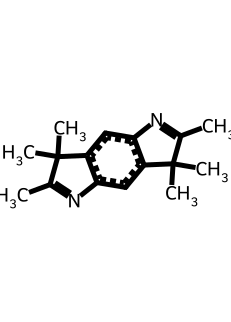 CC1=Nc2cc3c(cc2C1(C)C)N=C(C)C3(C)C